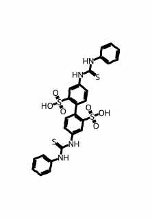 O=S(=O)(O)c1cc(NC(=S)Nc2ccccc2)ccc1-c1ccc(NC(=S)Nc2ccccc2)cc1S(=O)(=O)O